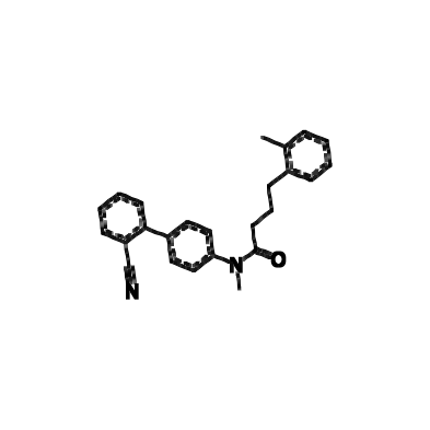 Cc1ccccc1CCCC(=O)N(C)c1ccc(-c2ccccc2C#N)cc1